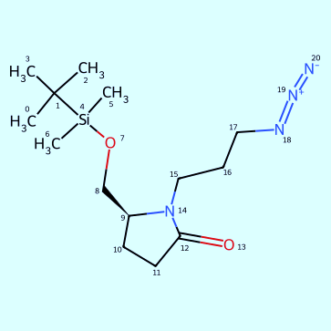 CC(C)(C)[Si](C)(C)OC[C@@H]1CCC(=O)N1CCCN=[N+]=[N-]